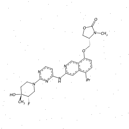 CC(C)c1ccc(OC[C@@H]2COC(=O)N2C)c2cnc(Nc3ccnc(N4CC[C@@](C)(O)[C@@H](F)C4)n3)cc12